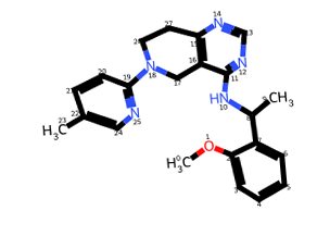 COc1ccccc1C(C)Nc1ncnc2c1CN(c1ccc(C)cn1)CC2